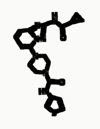 O=C(Nc1nc2cccc(N3CCN(C(=O)Nc4ccsc4)CC3)n2n1)C1CC1